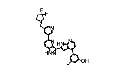 Oc1cc(F)cc(-c2ccnc3[nH]c(-c4n[nH]c5ccc(-c6cncc(CN7CCC(F)(F)C7)c6)nc45)cc23)c1